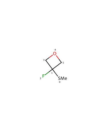 CSC1(F)COC1